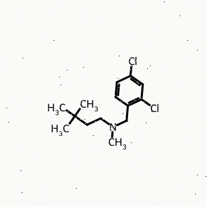 CN(CCC(C)(C)C)Cc1ccc(Cl)cc1Cl